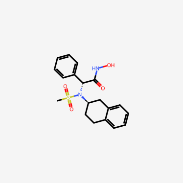 CS(=O)(=O)N([C@@H]1CCc2ccccc2C1)[C@@H](C(=O)NO)c1ccccc1